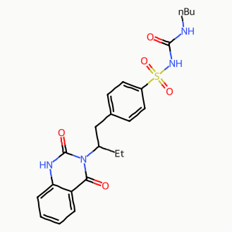 CCCCNC(=O)NS(=O)(=O)c1ccc(CC(CC)n2c(=O)[nH]c3ccccc3c2=O)cc1